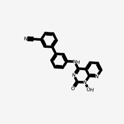 N#Cc1cccc(-c2cccc(Nc3nc(=O)n(O)c4ncccc34)c2)c1